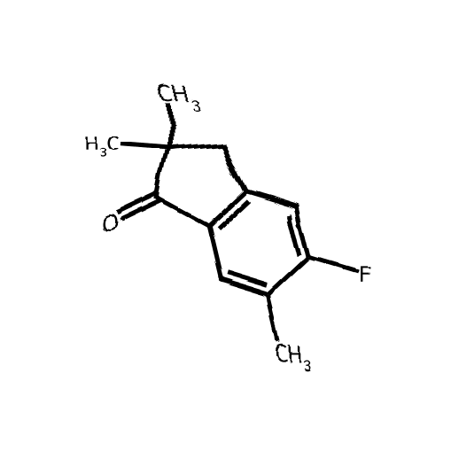 Cc1cc2c(cc1F)CC(C)(C)C2=O